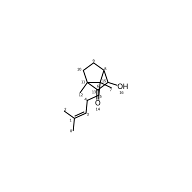 CC(C)=CCCC1(C)C2CCC1(C)C(=O)C2O